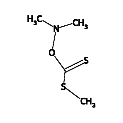 CSC(=S)ON(C)C